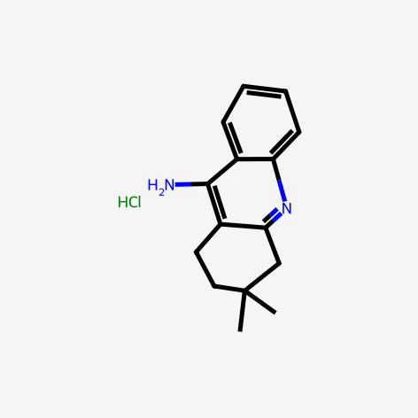 CC1(C)CCc2c(nc3ccccc3c2N)C1.Cl